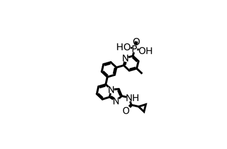 Cc1cc(-c2cccc(-c3cccc4nc(NC(=O)C5CC5)cn34)c2)nc(P(=O)(O)O)c1